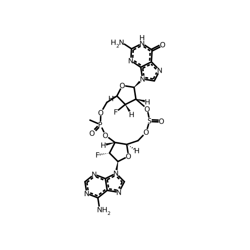 CP1(=O)OC[C@H]2O[C@@H](n3cnc4c(=O)[nH]c(N)nc43)[C@H](OS(=O)OC[C@H]3O[C@@H](n4cnc5c(N)ncnc54)[C@H](F)[C@@H]3O1)[C@@H]2F